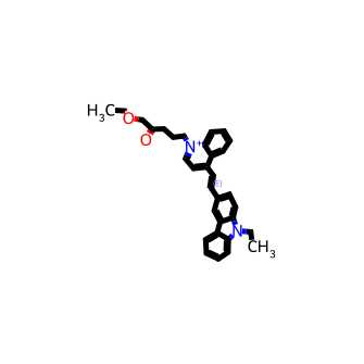 CCOCC(=O)CCC[n+]1ccc(/C=C/c2ccc3c(c2)c2ccccc2n3CC)c2ccccc21